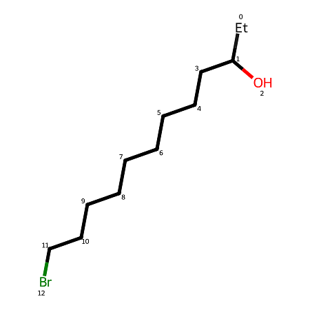 CCC(O)CCCCCCCCCBr